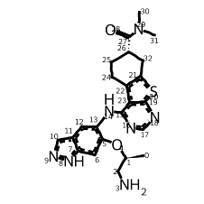 C[C@@H](CN)Oc1cc2[nH]ncc2cc1Nc1ncnc2sc3c(c12)CC[C@H](C(=O)N(C)C)C3